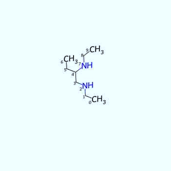 CCNCC(CC)NCC